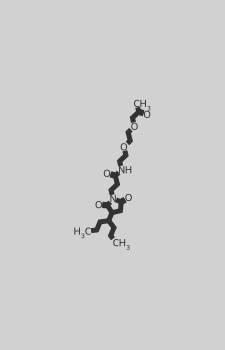 CCCC(CCC)C1CC(=O)N(CCC(=O)NCCOCCOCC(C)=O)C1=O